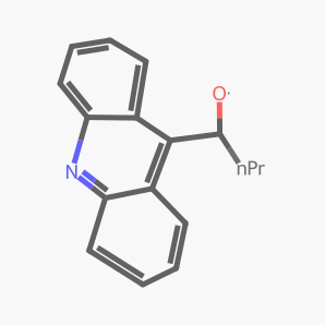 CCCC([O])c1c2ccccc2nc2ccccc12